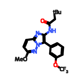 COc1ccc2nc(NC(=O)CC(C)(C)C)c(-c3cccc(OC(F)(F)F)c3)n2n1